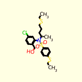 CCSCCC[C@@H](C)N(c1cc(Cl)ccc1CO)S(=O)(=O)c1ccc(SCC)cc1